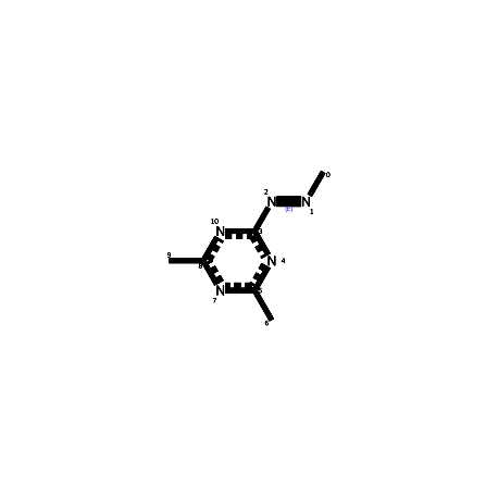 C/N=N/c1nc(C)nc(C)n1